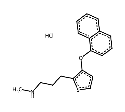 CNCCCc1sccc1Oc1cccc2ccccc12.Cl